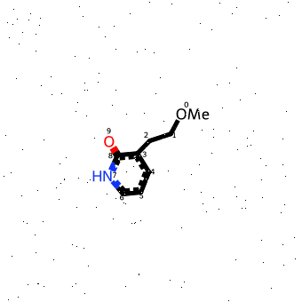 COCCc1ccc[nH]c1=O